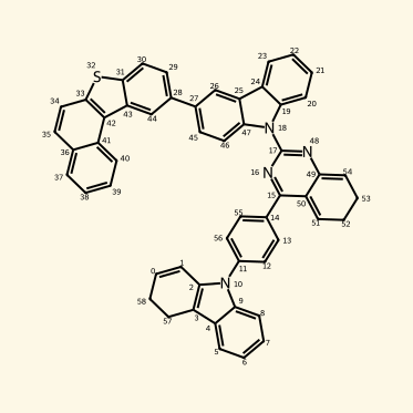 C1=Cc2c(c3ccccc3n2-c2ccc(-c3nc(-n4c5ccccc5c5cc(-c6ccc7sc8ccc9ccccc9c8c7c6)ccc54)nc4c3=CCCC=4)cc2)CC1